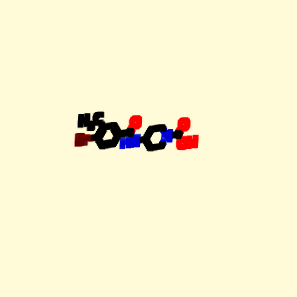 Cc1cc(C(=O)NC2CCN(C(=O)O)CC2)ccc1Br